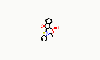 CCN1/C(=C2/C(=O)c3ccccc3C2C(=O)O)SC2C=CCCC21